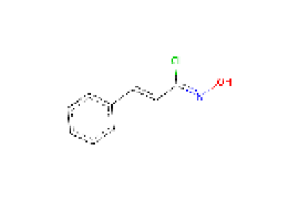 O/N=C(Cl)/C=C/c1ccccc1